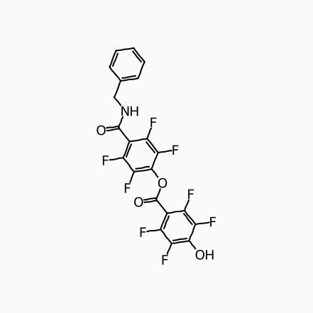 O=C(Oc1c(F)c(F)c(C(=O)NCc2ccccc2)c(F)c1F)c1c(F)c(F)c(O)c(F)c1F